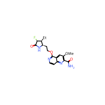 CC[C@@H]1[C@H](F)C(=O)N[C@@H]1CCOc1nccc2nc(C(N)=O)c(OC)cc12